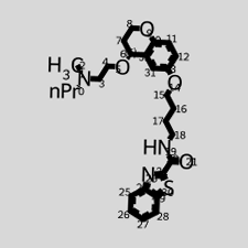 CCCN(C)CCO[C@H]1CCOc2ccc(OCCCCNC(=O)c3nc4ccccc4s3)cc21